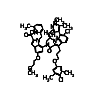 COCCOc1cc(N2CC(C)n3c(c(CCCOc4cc(C)c(Cl)c(C)c4)c4ccc(Cl)c(-c5c(C)nn(C)c5C)c43)C2=O)c2c(c1)cc(C(=O)O)n2Cc1cccc(C)n1